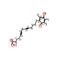 CC1=C(C)C(=O)C(CCCCC#CCC#CCCCC(=O)O)=C(C)C1=O